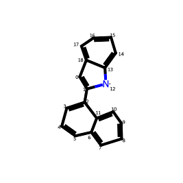 C1=C(c2cccc3ccccc23)[N]c2ccccc21